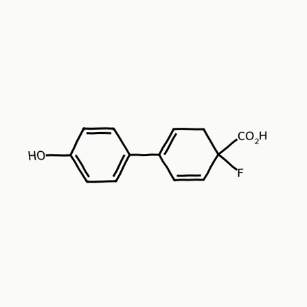 O=C(O)C1(F)C=CC(c2ccc(O)cc2)=CC1